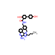 CCCCC1=NC2C(N)=Nc3ccccc3C2N1Cc1ccc(CNC(=O)c2cc(-c3ccc(O)cc3)ccc2O)cc1